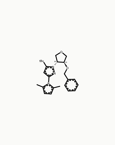 Cc1ccc(C)n1-c1cc(C(C)(C)C)n([C@@H]2COC[C@H]2OCc2ccccc2)n1